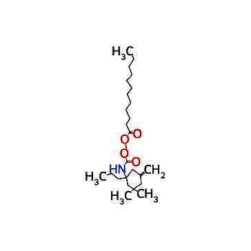 C=C1CC(C)(C)CC(CCC)(NC(=O)OCOC(=O)CCCCCCCCCCC)C1